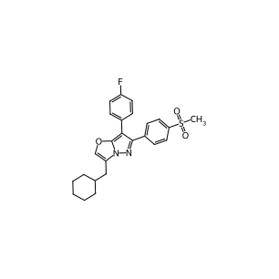 CS(=O)(=O)c1ccc(-c2nn3c(CC4CCCCC4)coc3c2-c2ccc(F)cc2)cc1